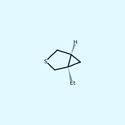 CC[C@]12CSC[C@H]1C2